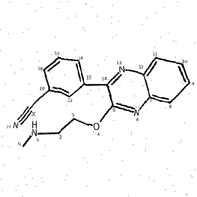 CNCCOc1nc2ccccc2nc1-c1cccc(C#N)c1